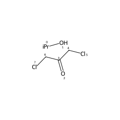 CC(C)O.O=C(CCl)CCl